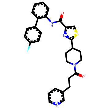 O=C(Nc1ccccc1-c1ccc(F)cc1)c1csc(C2CCN(C(=O)CCc3cccnc3)CC2)n1